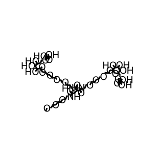 COCCOCCOCCNC(=O)CC(C(=O)NCCOCCOCCOCCOC1OC(COP(=O)(O)O)C(O)C(O)C1O)C(=O)NCCOCCOCCOCCOC1OC(COP(=O)(O)O)C(O)C(O)C1O